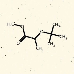 COC(=O)C(C)OC(C)(C)C